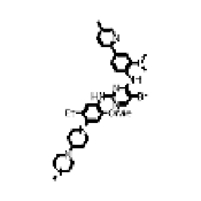 CCc1cc(Nc2ncc(Br)c(Nc3ccc(-c4ccc(C)cn4)cc3P(C)C)n2)c(OC)cc1N1CCC(N2CCN(C)CC2)CC1